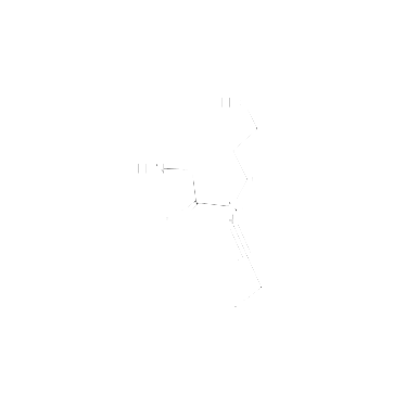 CCCCN(C#CCI)C(=O)ON